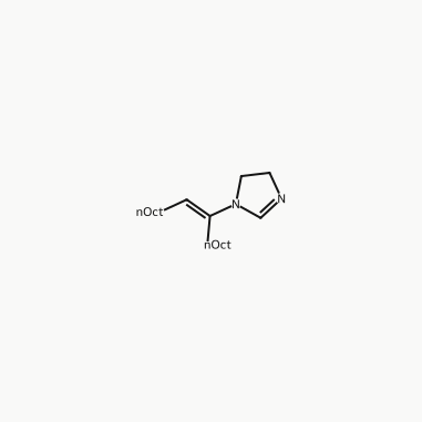 CCCCCCCC/C=C(\CCCCCCCC)N1C=NCC1